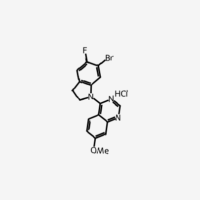 COc1ccc2c(N3CCc4cc(F)c(Br)cc43)ncnc2c1.Cl